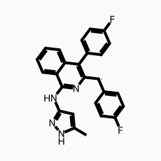 Cc1cc(Nc2nc([CH]c3ccc(F)cc3)c(-c3ccc(F)cc3)c3ccccc23)n[nH]1